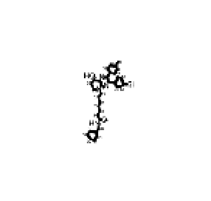 Cc1ccc(-c2nc3c(nc2-c2ccc(Cl)cc2)N(CCCCCCC(=O)NCc2ccccc2)CCC3O)cc1